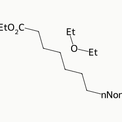 CCCCCCCCCCCCCCCC(=O)OCC.CCOCC